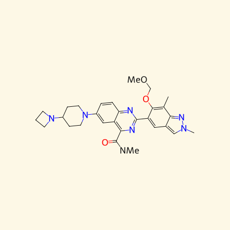 CNC(=O)c1nc(-c2cc3cn(C)nc3c(C)c2OCOC)nc2ccc(N3CCC(N4CCC4)CC3)cc12